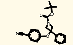 CC(C)(C)OC(=O)N1CC(Oc2ccc(C#N)cc2)(c2ccccc2)C1